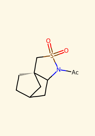 CC(=O)N1C2CC3CC[C@]2(C3)CS1(=O)=O